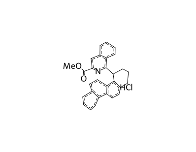 COC(=O)c1cc2ccccc2c(C2CCCc3ccc4c(ccc5ccccc54)c32)n1.Cl